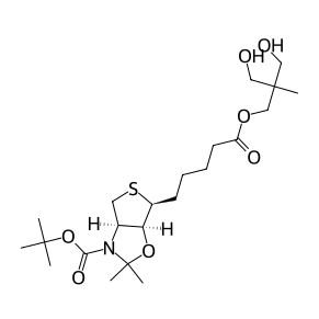 CC(CO)(CO)COC(=O)CCCC[C@@H]1SC[C@H]2[C@@H]1OC(C)(C)N2C(=O)OC(C)(C)C